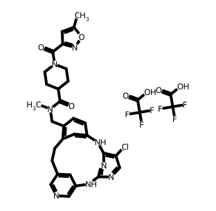 Cc1cc(C(=O)N2CCC(C(=O)N(C)Cc3ccc4cc3CCc3cncc(c3)Nc3ncc(Cl)c(n3)N4)CC2)no1.O=C(O)C(F)(F)F.O=C(O)C(F)(F)F